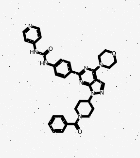 O=C(Nc1ccncc1)Nc1ccc(-c2nc(N3CCOCC3)c3cnn(C4CCN(C(=O)c5ccccc5)CC4)c3n2)cc1